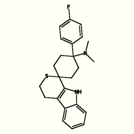 CN(C)C1(c2ccc(F)cc2)CCC2(CC1)SCCc1c2[nH]c2ccccc12